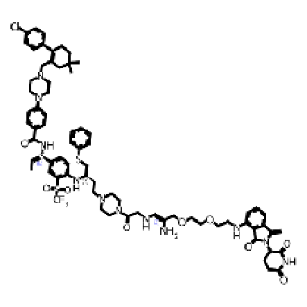 C=C1c2cccc(NCCOCCOC/C(N)=C/NCC(=O)N3CCN(CC[C@H](CSc4ccccc4)Nc4ccc(/S(=C\C)NC(=O)c5ccc(N6CCN(CC7=C(c8ccc(Cl)cc8)CCC(C)(C)C7)CC6)cc5)cc4S(=O)(=O)C(F)(F)F)CC3)c2C(=O)N1C1CCC(=O)NC1=O